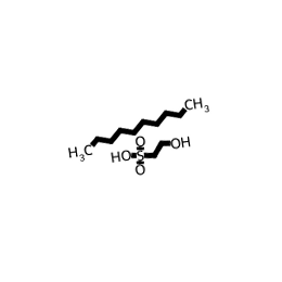 CCCCCCCCCC.O=S(=O)(O)CCO